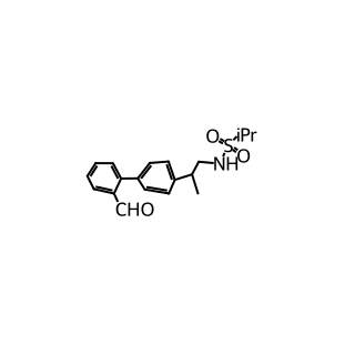 CC(CNS(=O)(=O)C(C)C)c1ccc(-c2ccccc2C=O)cc1